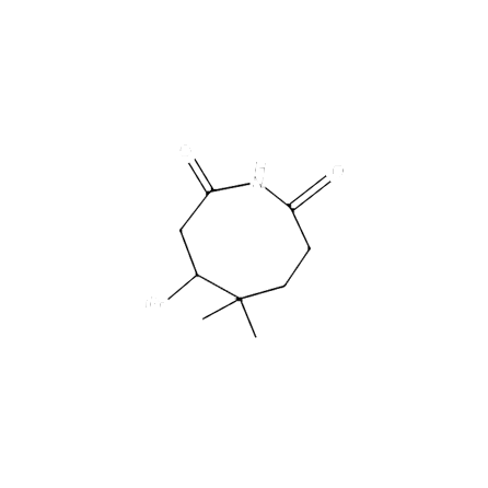 CC(C)C1CC(=O)NC(=O)CCC1(C)C